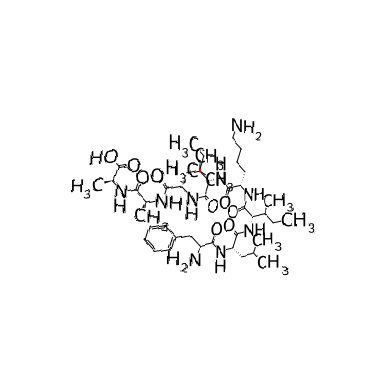 CC[C@H](C)[C@H](NC(=O)[C@H](CCCCN)NC(=O)[C@@H](NC(=O)[C@H](CC(C)C)NC(=O)[C@@H](N)Cc1ccccc1)[C@@H](C)CC)C(=O)N[C@@H](CC(C)C)C(=O)N[C@@H](C)C(=O)N[C@@H](C)C(=O)O